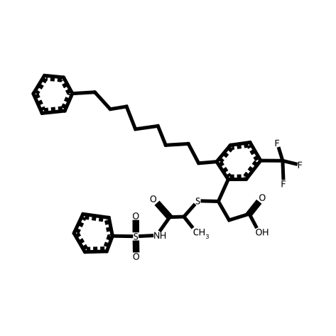 CC(SC(CC(=O)O)c1cc(C(F)(F)F)ccc1CCCCCCCCc1ccccc1)C(=O)NS(=O)(=O)c1ccccc1